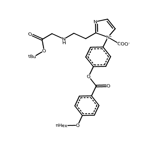 CCCCCCOc1ccc(C(=O)Oc2ccc([N+]3(C(=O)[O-])C=CN=C3CCNCC(=O)OC(C)(C)C)cc2)cc1